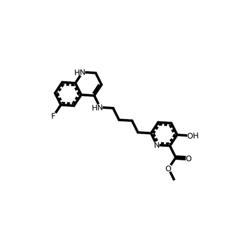 COC(=O)c1nc(CCCCNC2=CCNc3ccc(F)cc32)ccc1O